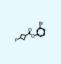 O=C(Oc1cccc(Br)c1)C1CC(F)C1